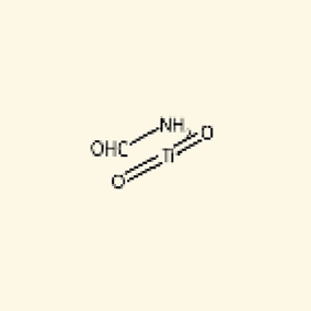 NC=O.[O]=[Ti]=[O]